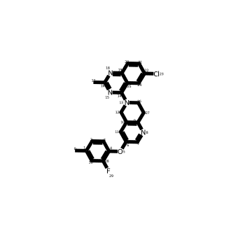 Cc1ccc(Oc2cnc3c(c2)CN(c2nc(C)nc4ccc(Cl)cc24)CC3)c(F)c1